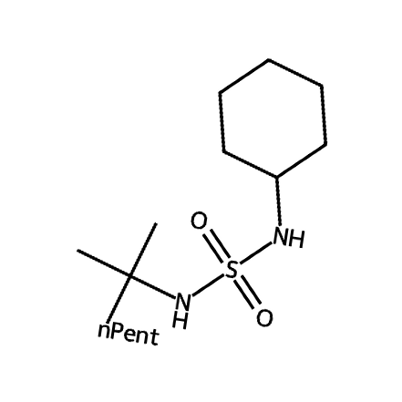 CCCCCC(C)(C)NS(=O)(=O)NC1CCCCC1